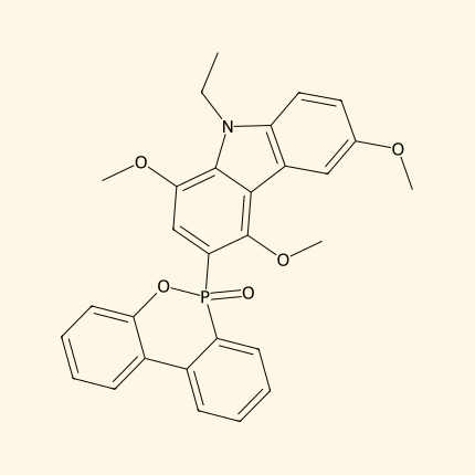 CCn1c2ccc(OC)cc2c2c(OC)c(P3(=O)Oc4ccccc4-c4ccccc43)cc(OC)c21